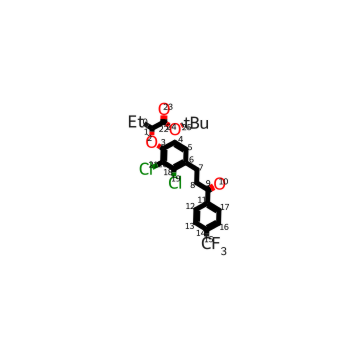 CCC(Oc1ccc(CCC(=O)c2ccc(C(F)(F)F)cc2)c(Cl)c1Cl)C(=O)OC(C)(C)C